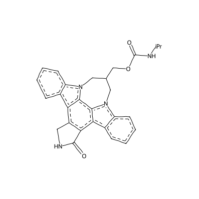 CC(C)NC(=O)OCC1Cn2c3ccccc3c3c4c(c5c6ccccc6n(c5c32)C1)C(=O)NC4